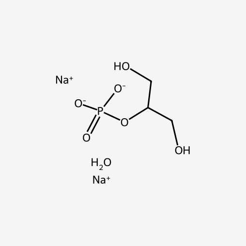 O.O=P([O-])([O-])OC(CO)CO.[Na+].[Na+]